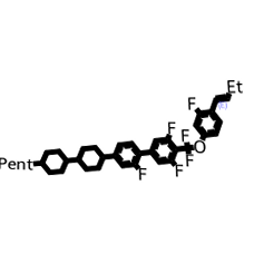 CC/C=C/c1ccc(OC(F)(F)c2c(F)cc(-c3ccc(C4CCC(C5CCC(CCCCC)CC5)CC4)cc3F)cc2F)cc1F